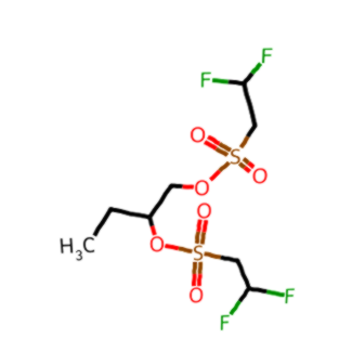 CCC(COS(=O)(=O)CC(F)F)OS(=O)(=O)CC(F)F